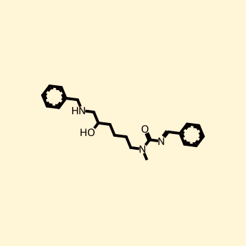 CN(CCCCC(O)CNCc1ccccc1)C(=O)N=Cc1ccccc1